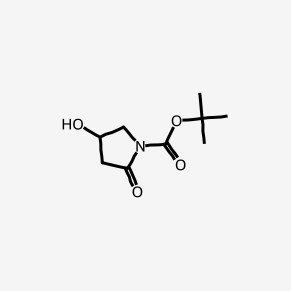 CC(C)(C)OC(=O)N1CC(O)CC1=O